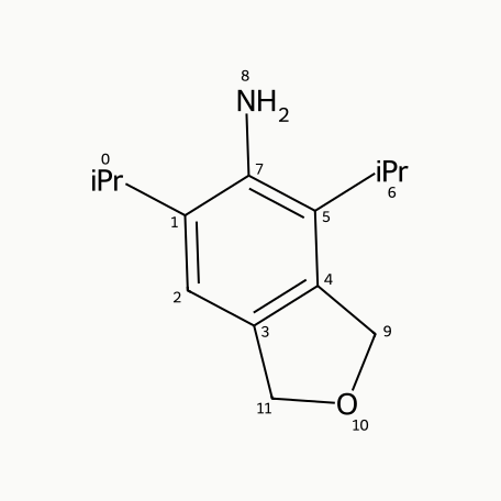 CC(C)c1cc2c(c(C(C)C)c1N)COC2